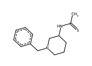 CC(=S)NC1CCCN(Cc2ccccc2)C1